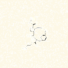 CC(C)CC1C(CC(=O)NO)CCCOC2=CCC(C=C2)CC(C(=O)NCCN)NC1O